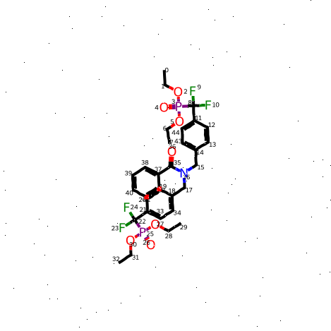 CCOP(=O)(OCC)C(F)(F)c1ccc(CN(Cc2ccc(C(F)(F)P(=O)(OCC)OCC)cc2)C(=O)c2ccccc2)cc1